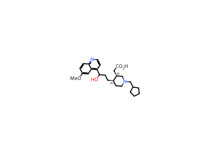 COc1ccc2nccc(C(O)CC[C@@H]3CCN(CC4CCCC4)C[C@@H]3CC(=O)O)c2c1